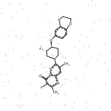 Cc1cc2nc(C)c(F)c(=O)n2nc1N1CC[C@H](Oc2ccc3c(c2)OCCO3)[C@@H](F)C1